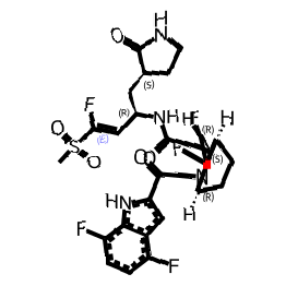 CS(=O)(=O)/C(F)=C/[C@@H](C[C@@H]1CCNC1=O)NC(=O)[C@@H]1[C@H]2CC[C@H](CC2(F)F)N1C(=O)c1cc2c(F)ccc(F)c2[nH]1